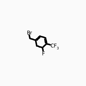 FC1CC(CBr)=CC=C1C(F)(F)F